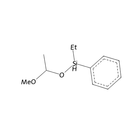 CC[SiH](OC(C)OC)c1ccccc1